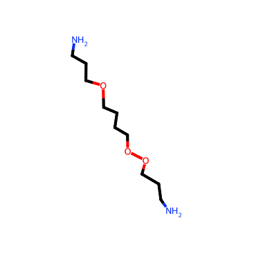 NCCCOCCCCOOCCCN